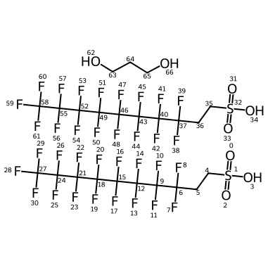 O=S(=O)(O)CCC(F)(F)C(F)(F)C(F)(F)C(F)(F)C(F)(F)C(F)(F)C(F)(F)C(F)(F)F.O=S(=O)(O)CCC(F)(F)C(F)(F)C(F)(F)C(F)(F)C(F)(F)C(F)(F)C(F)(F)C(F)(F)F.OCCCO